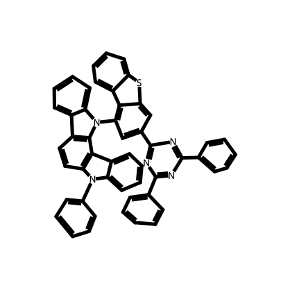 c1ccc(-c2nc(-c3ccccc3)nc(-c3cc(-n4c5ccccc5c5ccc6c(c7ccccc7n6-c6ccccc6)c54)c4c(c3)sc3ccccc34)n2)cc1